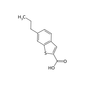 CCCc1ccc2cc(C(=O)O)sc2c1